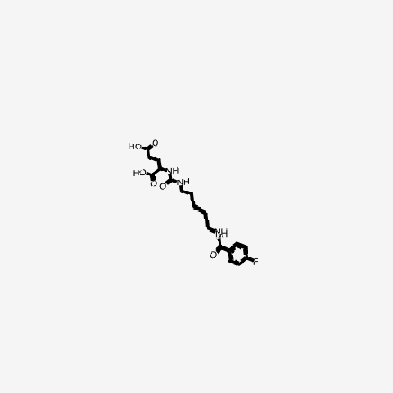 O=C(O)CCC(NC(=O)NCCCCCNC(=O)c1ccc(F)cc1)C(=O)O